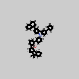 CC1(C)c2ccccc2-c2c1ccc1c2oc2c(-c3cccc(-n4c5ccc(-c6ccccc6)cc5c5cc(-c6cccc7ccccc67)ccc54)c3)cccc21